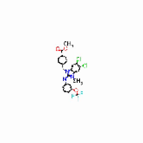 COC(=O)c1ccc(Cn2/c(=N/c3cccc(OC(F)(F)F)c3)n(C)c3cc(Cl)c(Cl)cc32)cc1